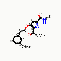 CCNC(=O)c1cc(OCCc2cccc(OC)c2)c(C(=O)NC)[nH]1